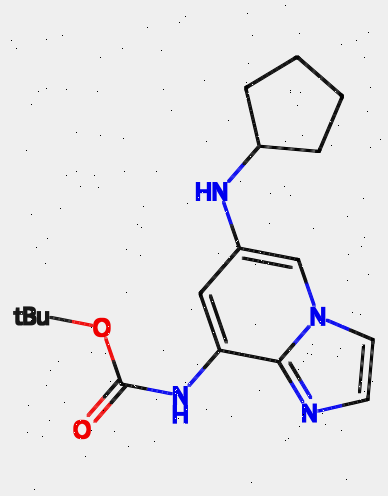 CC(C)(C)OC(=O)Nc1cc(NC2CCCC2)cn2ccnc12